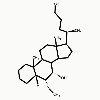 CC[C@H]1[C@@H](O)C2C3CC[C@H]([C@H](C)CCCO)C3(C)CCC2C2(C)CCCC[C@@H]12